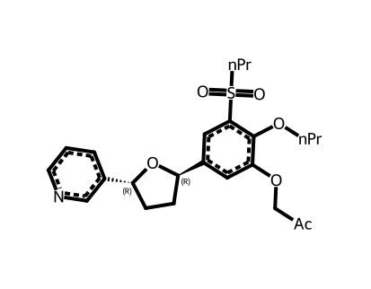 CCCOc1c(OCC(C)=O)cc([C@H]2CC[C@H](c3cccnc3)O2)cc1S(=O)(=O)CCC